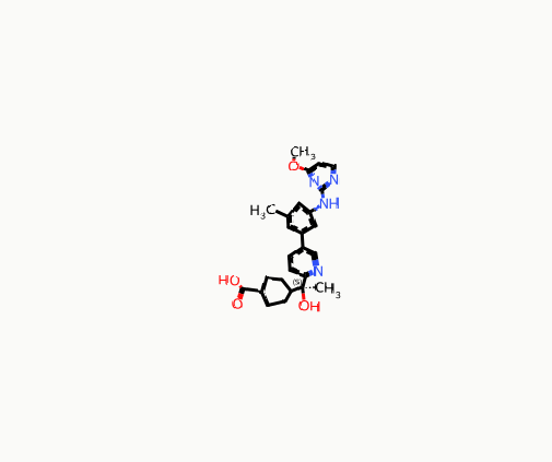 COc1ccnc(Nc2cc(C)cc(-c3ccc([C@@](C)(O)C4CCC(C(=O)O)CC4)nc3)c2)n1